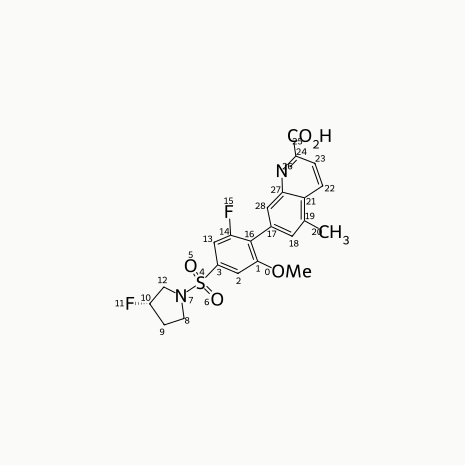 COc1cc(S(=O)(=O)N2CC[C@H](F)C2)cc(F)c1-c1cc(C)c2ccc(C(=O)O)nc2c1